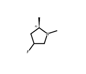 C[C@@H]1CC(F)CN1C